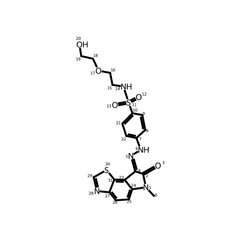 CN1C(=O)/C(=N\Nc2ccc(S(=O)(=O)NCCOCCO)cc2)c2c1ccc1ncsc21